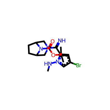 CNn1cc(Br)cc1C(=N)N1CC2CCC(C1)N2C(=O)OC(C)(C)C